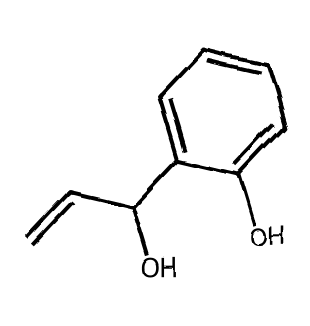 C=CC(O)c1ccccc1O